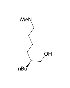 CCCC[C@H](CO)CCCCNC